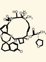 CN(C(=O)O[C@H]1/C=C/CN(C)C(C)(C)C(O)NS(=O)(=O)c2ccc3c(c2)N(C[C@@H]2CC[C@H]21)C[C@@]1(CCCc2cc(Cl)ccc21)CO3)[C@@H]1CCOC1